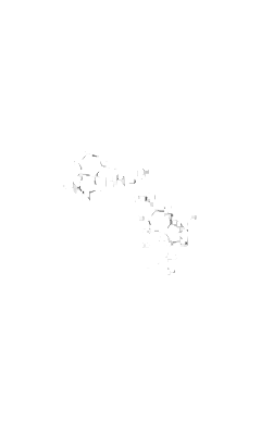 Cc1ccc2c(cnn2C)c1CNC(=O)COc1cc(C)c2c(C3CC3)nn(C)c2n1